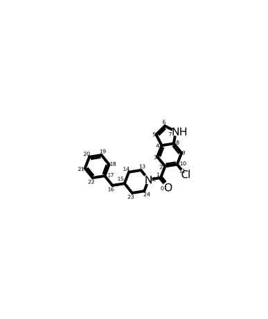 O=C(c1cc2cc[nH]c2cc1Cl)N1CCC(Cc2ccccc2)CC1